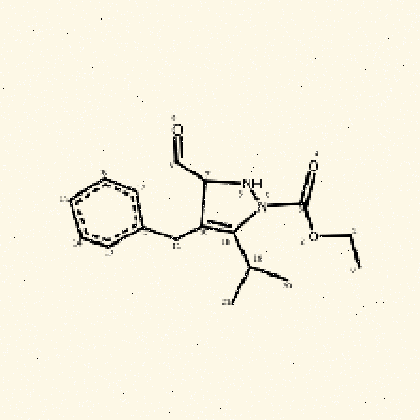 CCOC(=O)N1NC(C=O)C(Cc2ccccc2)=C1C(C)C